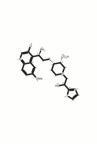 COc1ccc2ncc(Cl)c([C@@H](N)CC[C@H]3CCN(CC(S)c4nccs4)C[C@H]3C(=O)O)c2c1